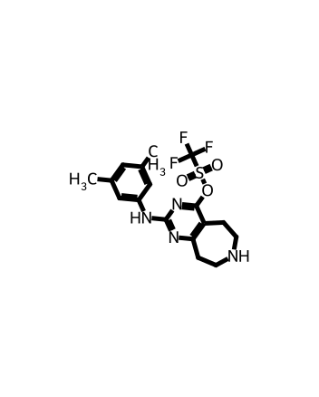 Cc1cc(C)cc(Nc2nc3c(c(OS(=O)(=O)C(F)(F)F)n2)CCNCC3)c1